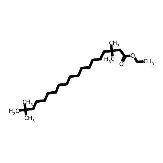 CCOC(=O)CC(C)(C)CCCCCCCCCCCCCCC(C)(C)C